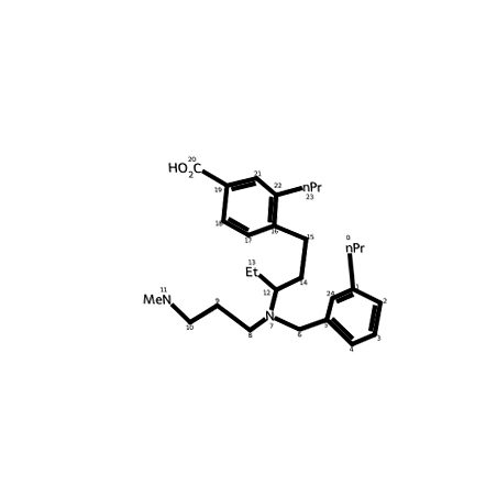 CCCc1cccc(CN(CCCNC)C(CC)CCc2ccc(C(=O)O)cc2CCC)c1